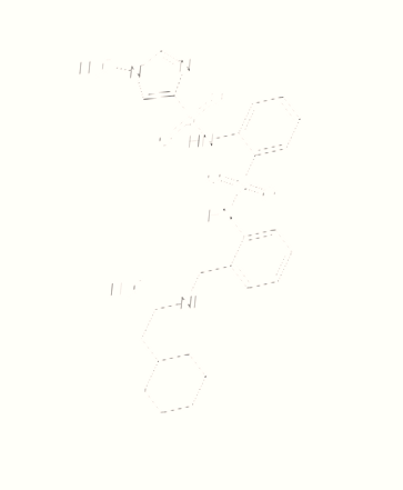 C[C@@H](CC1CCCCC1)NCc1ccccc1NS(=O)(=O)c1ccccc1NS(=O)(=O)c1cn(C)cn1